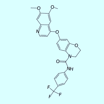 COc1cc2nccc(Oc3ccc4c(c3)OCCN4C(=O)Nc3ccc(C(F)(F)F)cc3)c2cc1OC